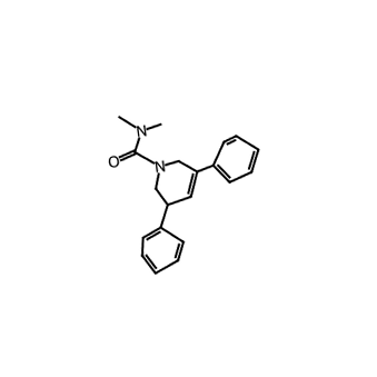 CN(C)C(=O)N1CC(c2ccccc2)=CC(c2ccccc2)C1